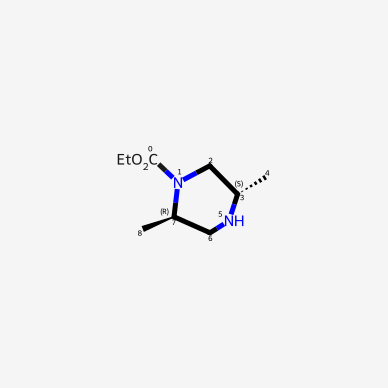 CCOC(=O)N1C[C@H](C)NC[C@H]1C